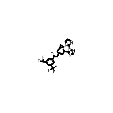 CC(/C=C(/CC(=O)c1cc(C(F)(F)F)cc(C(F)(F)F)c1)CC1CC1)c1ncnn1-c1ncccn1